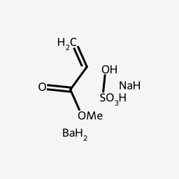 C=CC(=O)OC.O=S(=O)(O)O.[BaH2].[NaH]